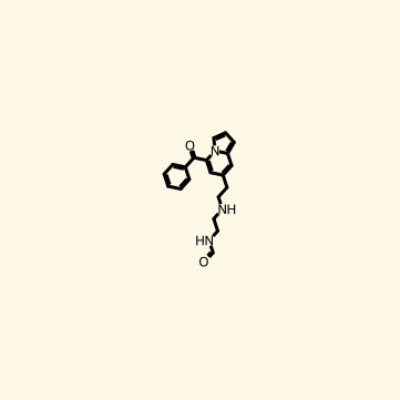 O=CNCCNCCc1cc(C(=O)c2ccccc2)n2cccc2c1